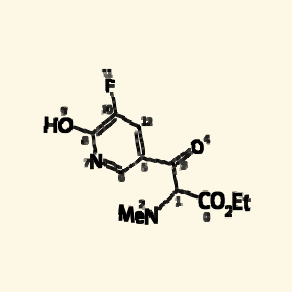 CCOC(=O)C(NC)C(=O)c1cnc(O)c(F)c1